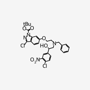 CC(C)(C)OC(=O)n1nc(Cl)c2ccc(OCCN(Cc3ccccc3)C[C@H](O)c3ccc(Cl)c([N+](=O)[O-])c3)cc21